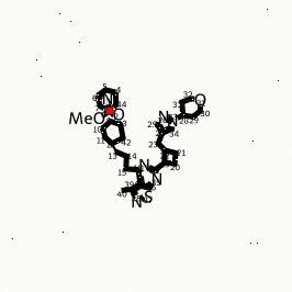 COC(=O)N1C2CC1CN([C@H]1CC[C@H](CCCc3nc(C4CCC4Cc4cnn(C5CCOCC5)c4)nc4snc(C)c34)CC1)C2